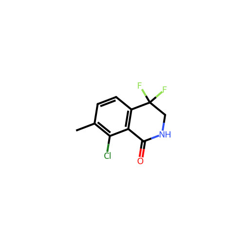 Cc1ccc2c(c1Cl)C(=O)NCC2(F)F